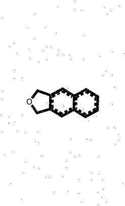 c1ccc2cc3c(cc2c1)COC3